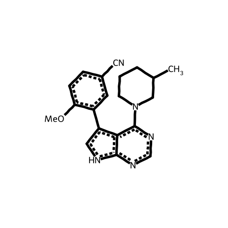 COc1ccc(C#N)cc1-c1c[nH]c2ncnc(N3CCCC(C)C3)c12